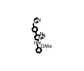 COc1ccccc1CNc1ccc(-c2ccc(Cn3ccnc3)cc2)c2nncn12